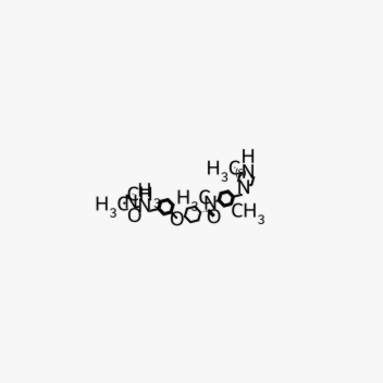 Cc1cc(N(C)C(=O)[C@H]2CC[C@H](Oc3cccc(CNC(=O)N(C)C)c3)CC2)ccc1CN1CCN[C@@H](C)C1